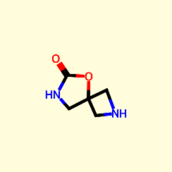 O=C1NCC2(CNC2)O1